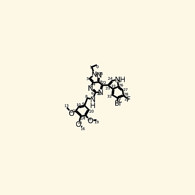 CCn1cc2nc(NCc3cc(OC)c(OC)c(OC)c3)nc(-c3c[nH]c4cc(F)c(Br)cc34)c2n1